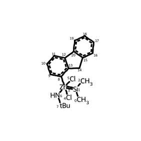 C[Si](C)=[Zr]([Cl])([Cl])([NH]C(C)(C)C)[c]1cccc2c1Cc1ccccc1-2